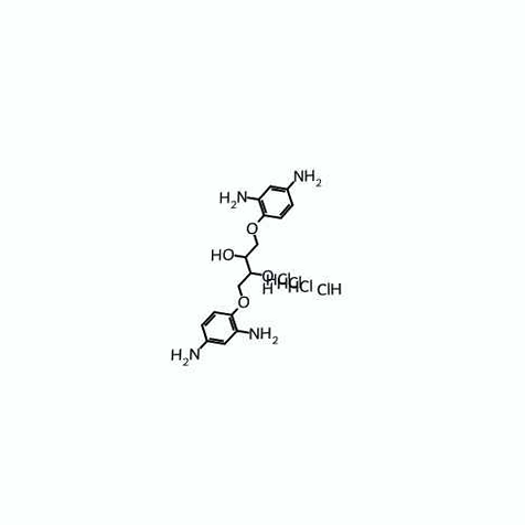 Cl.Cl.Cl.Cl.Nc1ccc(OCC(O)C(O)COc2ccc(N)cc2N)c(N)c1